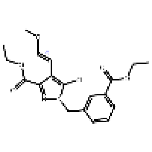 CCOC(=O)c1cccc(Cn2nc(C(=O)OCC)c(/C=C/OC)c2Cl)c1